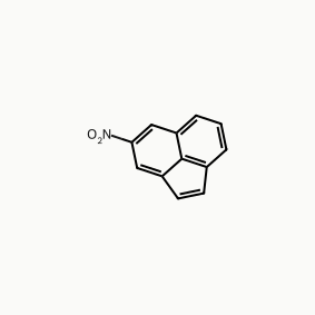 O=[N+]([O-])c1cc2c3c(cccc3c1)C=C2